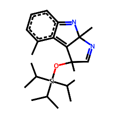 Cc1cccc2c1=C1C(C)(N=CC1(C)O[Si](C(C)C)(C(C)C)C(C)C)N=2